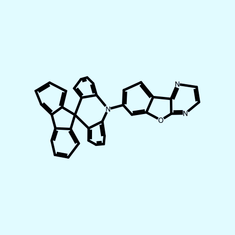 c1ccc2c(c1)-c1ccccc1C21c2ccccc2N(c2ccc3c(c2)oc2nccnc23)c2ccccc21